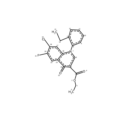 CCOC(=O)c1cn(-c2ccccc2CC)c2cc(Cl)c(F)cc2c1=O